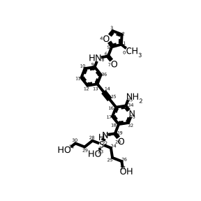 Cc1ccoc1C(=O)Nc1cccc(C#Cc2cc(C(=O)N=[SH](O)(CCCO)CCCO)cnc2N)c1